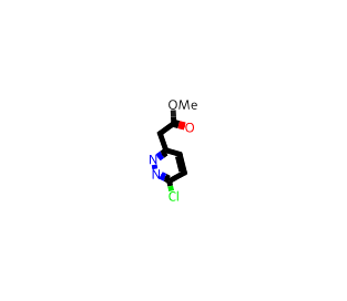 COC(=O)Cc1ccc(Cl)nn1